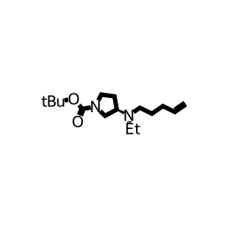 C=CCCCN(CC)[C@@H]1CCN(C(=O)OC(C)(C)C)C1